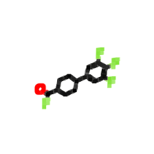 O=C(F)C1CCC(c2cc(F)c(F)c(F)c2)CC1